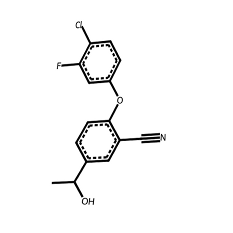 CC(O)c1ccc(Oc2ccc(Cl)c(F)c2)c(C#N)c1